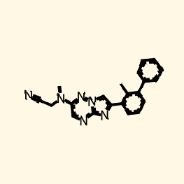 Cc1c(-c2ccccc2)cccc1-c1cn2nc(N(C)CC#N)cnc2n1